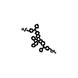 CCc1ccc(N(c2ccccc2)c2ccc3cc4c(cc3c2)C2(c3cc5cc(N(c6ccccc6)c6ccc(CC)cc6)ccc5cc3-4)c3ccccc3-c3c2ccc2ccccc32)cc1